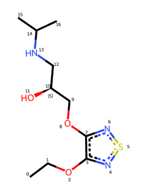 CCOc1nsnc1OC[C@@H](O)CNC(C)C